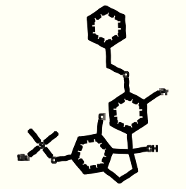 CC(C)c1cc(C2(O)CCc3cc(O[Si](C)(C)C(C)(C)C)cc(Cl)c32)ccc1OCc1ccccc1